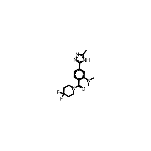 Cc1nnc(-c2ccc(C(=O)N3CCC(F)(F)CC3)c(N(C)C)c2)[nH]1